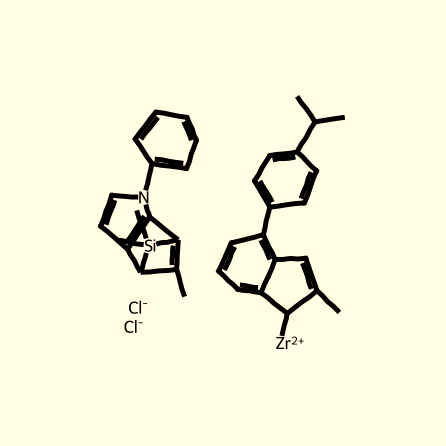 CC1=C2c3c(ccn3-c3ccccc3)C1[Si]2(C)C.CC1=Cc2c(-c3ccc(C(C)C)cc3)cccc2[CH]1[Zr+2].[Cl-].[Cl-]